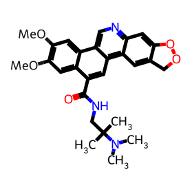 COc1cc2c(C(=O)NCC(C)(C)N(C)C)cc3c4cc5c(cc4ncc3c2cc1OC)OOC5